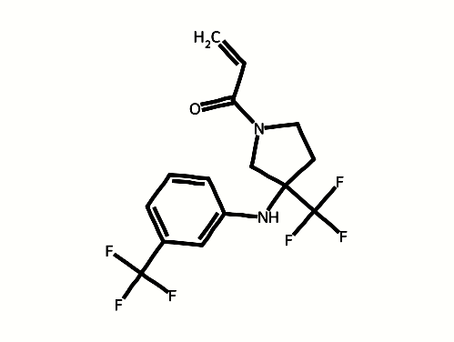 C=CC(=O)N1CCC(Nc2cccc(C(F)(F)F)c2)(C(F)(F)F)C1